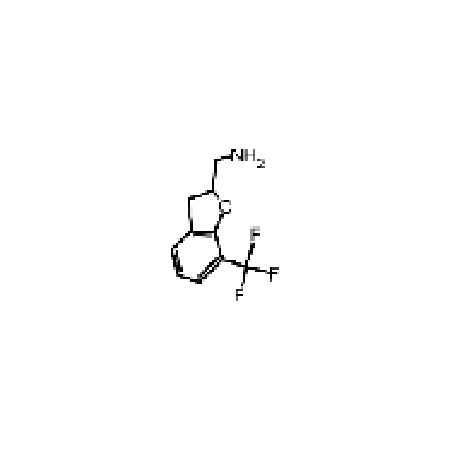 NCC1Cc2cccc(C(F)(F)F)c2O1